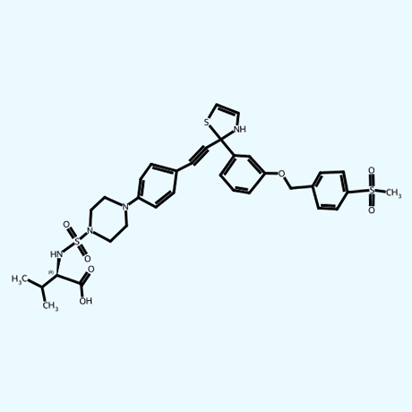 CC(C)[C@@H](NS(=O)(=O)N1CCN(c2ccc(C#CC3(c4cccc(OCc5ccc(S(C)(=O)=O)cc5)c4)NC=CS3)cc2)CC1)C(=O)O